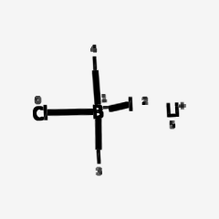 Cl[B-](I)(I)I.[Li+]